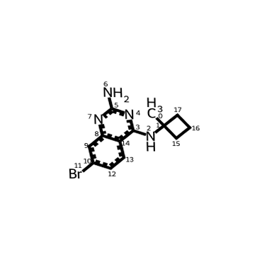 CC1(Nc2nc(N)nc3cc(Br)ccc23)CCC1